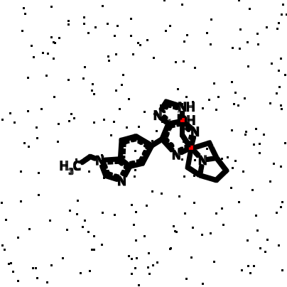 CCn1cnc2cc(-c3nc(N4C5CCC4CC(CO)C5)nc4[nH]cnc34)ccc21